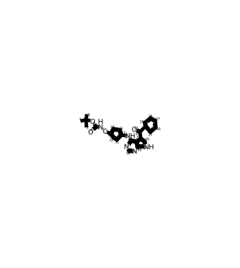 CC(C)(C)OC(=O)NCc1ccc(Nc2ncnc3[nH]cc(C(=O)c4ccccc4)c23)cc1